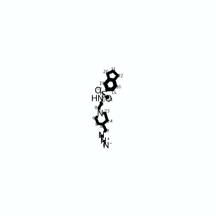 [N-]=[N+]=NCC1CCN(CCNS(=O)(=O)c2ccc3c(c2)CCC3)CC1